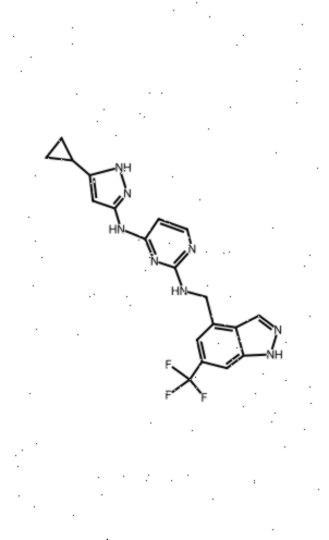 FC(F)(F)c1cc(CNc2nccc(Nc3cc(C4CC4)[nH]n3)n2)c2cn[nH]c2c1